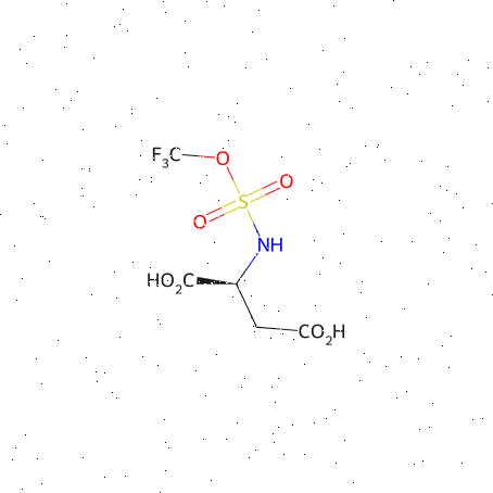 O=C(O)C[C@H](NS(=O)(=O)OC(F)(F)F)C(=O)O